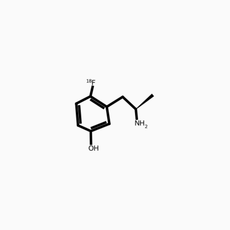 C[C@@H](N)Cc1cc(O)ccc1[18F]